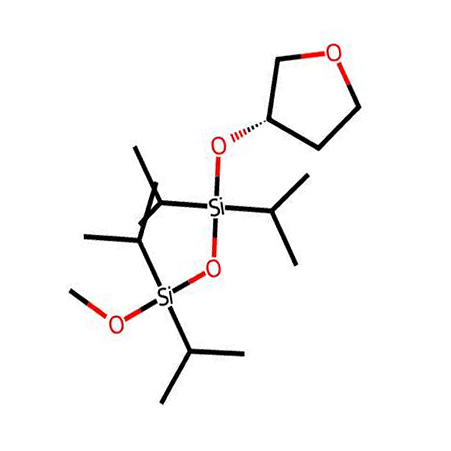 CO[Si](O[Si](O[C@H]1CCOC1)(C(C)C)C(C)C)(C(C)C)C(C)C